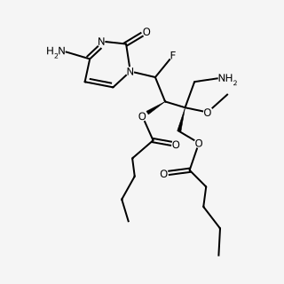 CCCCC(=O)OC[C@@](CN)(OC)[C@@H](OC(=O)CCCC)C(F)n1ccc(N)nc1=O